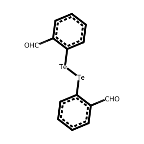 O=Cc1ccccc1[Te][Te]c1ccccc1C=O